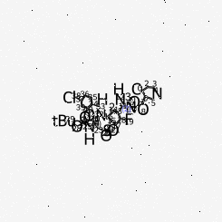 Cc1ccncc1C(=O)O/N=C(\N)c1cc2c(cc1F)S(=O)(=O)C[C@H](NC(=O)OC(C)(C)C)C(=O)N2Cc1ccc(Cl)cc1